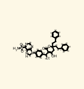 CCC(C1=C(O)CC(CCc2ccccc2)(CCc2ccccc2)OC1=O)c1ccc(N2CNc3c2ncnc3S(N)(=O)=O)cc1